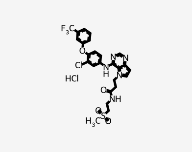 CS(=O)(=O)CCNC(=O)CCn1ccc2ncnc(Nc3ccc(Oc4cccc(C(F)(F)F)c4)c(Cl)c3)c21.Cl